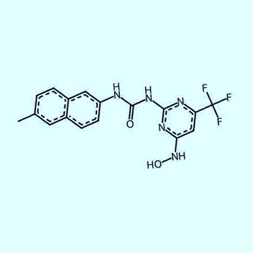 Cc1ccc2cc(NC(=O)Nc3nc(NO)cc(C(F)(F)F)n3)ccc2c1